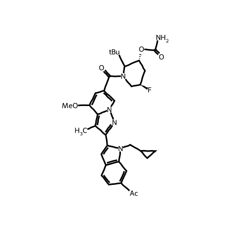 COc1cc(C(=O)N2C[C@H](F)C[C@@H](OC(N)=O)C2C(C)(C)C)cn2nc(-c3cc4ccc(C(C)=O)cc4n3CC3CC3)c(C)c12